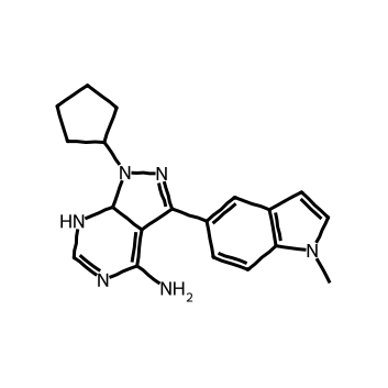 Cn1ccc2cc(C3=NN(C4CCCC4)C4NC=NC(N)=C34)ccc21